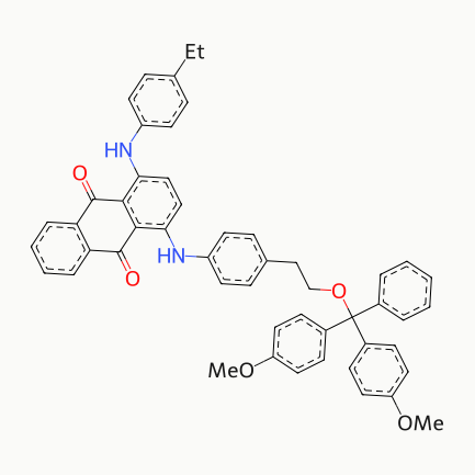 CCc1ccc(Nc2ccc(Nc3ccc(CCOC(c4ccccc4)(c4ccc(OC)cc4)c4ccc(OC)cc4)cc3)c3c2C(=O)c2ccccc2C3=O)cc1